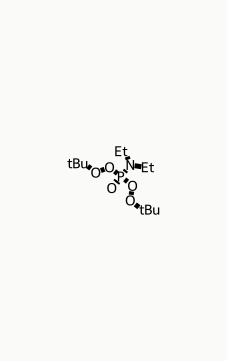 CCN(CC)P(=O)(OOC(C)(C)C)OOC(C)(C)C